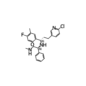 CNC(=O)[C@@H](N[C@@H](CCc1ccc(Cl)nc1)c1ccc(F)c(C)c1)c1ccccc1